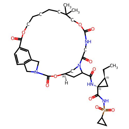 CC[C@H]1C[C@@]1(NC(=O)C1C[C@@H]2CN1C(=O)CNC(=O)OCC(C)(C)CCCCCOC(=O)c1ccc3c(c1)CN(C3)C(=O)O2)C(=O)NS(=O)(=O)C1CC1